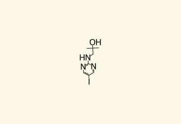 CC(C)(O)CNc1ncc(I)cn1